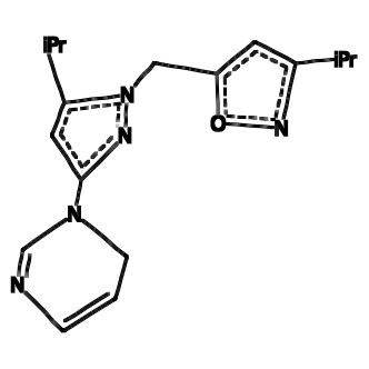 CC(C)c1cc(Cn2nc(N3C=NC=CC3)cc2C(C)C)on1